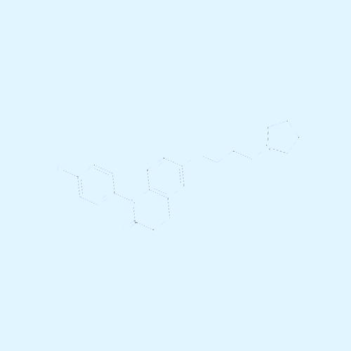 O=C1CCc2cc(OCCCN3CCCC3)ccc2N1c1ccc(F)cc1